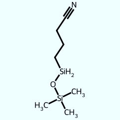 C[Si](C)(C)O[SiH2]CCCC#N